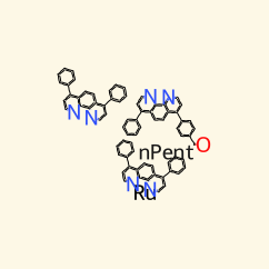 CCCCCC(=O)c1ccc(-c2ccnc3c2ccc2c(-c4ccccc4)ccnc23)cc1.[Ru].c1ccc(-c2ccnc3c2ccc2c(-c4ccccc4)ccnc23)cc1.c1ccc(-c2ccnc3c2ccc2c(-c4ccccc4)ccnc23)cc1